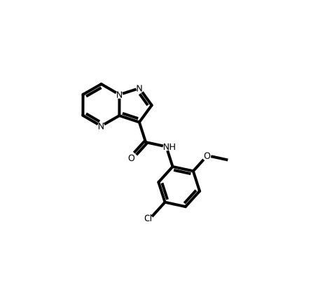 COc1ccc(Cl)cc1NC(=O)c1cnn2cccnc12